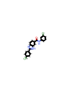 O=C(Nc1cccc(Cl)c1)c1ccc2nc(-c3ccc(Cl)cc3)[nH]c2c1